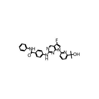 CC(C)(O)c1cccc(-n2cc(F)c3cnc(Nc4ccc(C(=O)Nc5ccccc5)cc4)nc32)n1